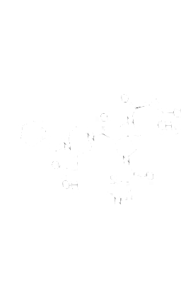 CC1(C)C[C@@H]1C(=O)N1CC2(CN(C(=O)c3cncs3)C[C@H]2C(=O)N2CCN(CC3CCCCC3)C(CC(=O)O)C2)C1